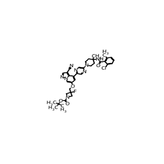 Cc1cccc(Cl)c1C(=O)NC1(C)CCN(c2cnc(-c3cc(OCC4(F)CN(C(=O)OC(C)(C)C)C4)cn4ncc(C#N)c34)cn2)CC1